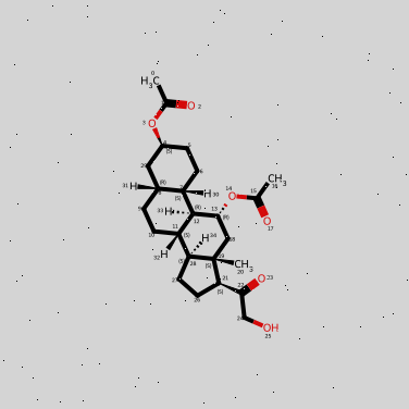 CC(=O)O[C@H]1CC[C@H]2[C@H](CC[C@@H]3[C@@H]2[C@H](OC(C)=O)C[C@]2(C)[C@@H](C(=O)CO)CC[C@@H]32)C1